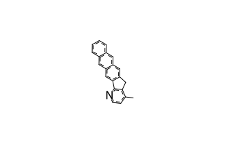 Cc1ccnc2c1Cc1cc3cc4ccccc4cc3cc1-2